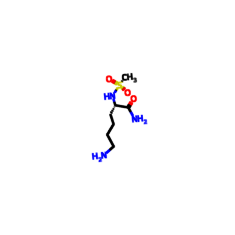 CS(=O)(=O)N[C@@H](CCCCN)C(N)=O